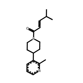 Cc1ncccc1C1CCN(C(=O)C=CC(C)C)CC1